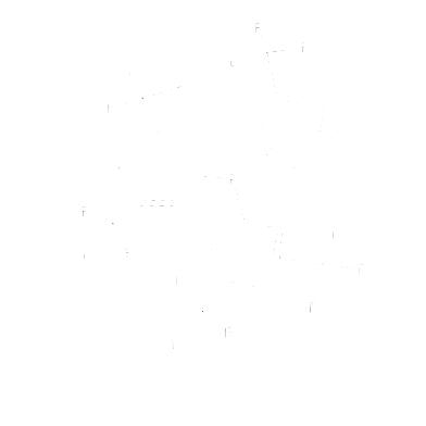 Cc1cc(P(c2cc(C(F)(F)F)cc(C(F)(F)F)c2)c2cc(C(F)(F)F)cc(C(F)(F)F)c2)cc(C(F)(F)F)c1